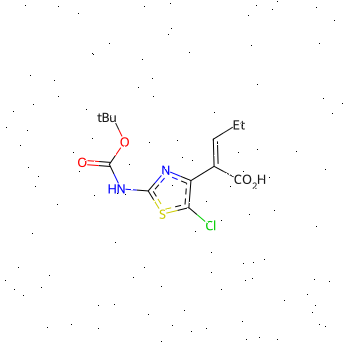 CCC=C(C(=O)O)c1nc(NC(=O)OC(C)(C)C)sc1Cl